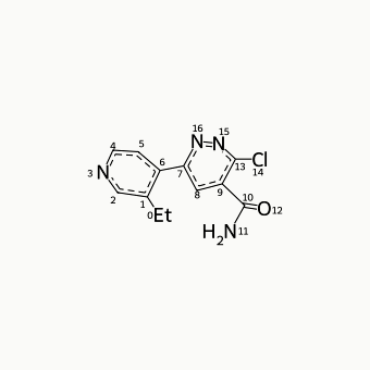 CCc1cnccc1-c1cc(C(N)=O)c(Cl)nn1